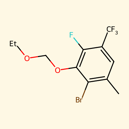 CCOCOc1c(F)c(C(F)(F)F)cc(C)c1Br